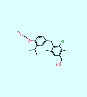 COCOc1ccc(Cc2c(C)cc(CO)c(F)c2Cl)cc1C(C)C